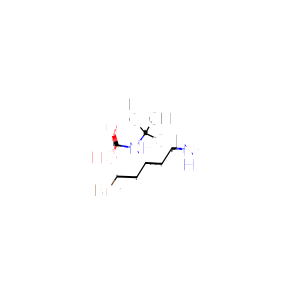 CC(C)(C)NC(=O)O.NCCCCCBr